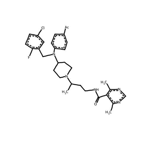 CC(=O)c1ccc(N(Cc2cc(Cl)ccc2F)C2CCN(C(C)CCNC(=O)c3c(C)ncnc3C)CC2)cc1